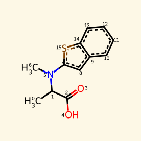 CC(C(=O)O)N(C)c1cc2ccccc2s1